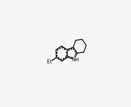 CCc1ccc2c3c([nH]c2c1)CCCC3